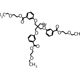 CCOCCOC(=O)c1cccc(OCC(CBr)(COc2cccc(C(=O)OCCOCC)c2)COc2cccc(C(=O)OCCOCC)c2)c1